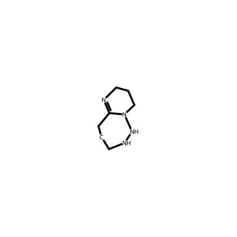 C1CNNN2CCCN=C2C1